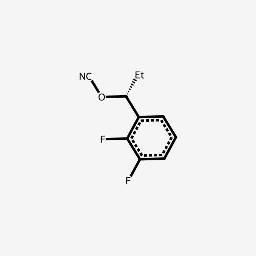 CC[C@@H](OC#N)c1cccc(F)c1F